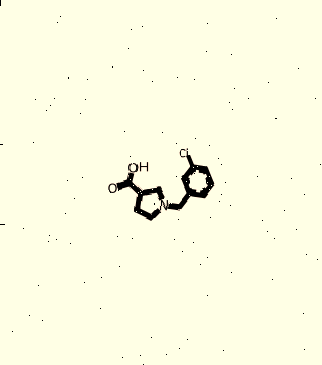 O=C(O)C1CCN(Cc2cccc(Cl)c2)C1